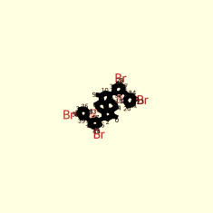 Cc1cc2c3c(cc4c(C)cc5c6c(cc1c3c46)B1c3ccc(Br)cc3-c3cc(Br)cc-5c31)B1c3ccc(Br)cc3-c3cc(Br)cc-2c31